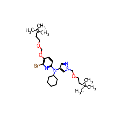 C[Si](C)(C)CCOCOc1ccc(N(c2cnn(COCC[Si](C)(C)C)c2)C2CCCCC2)nc1Br